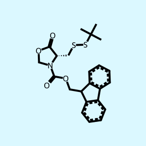 CC(C)(C)SSC[C@H]1C(=O)OCN1C(=O)OCC1c2ccccc2-c2ccccc21